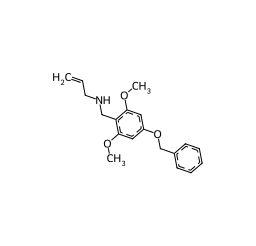 C=CCNCc1c(OC)cc(OCc2ccccc2)cc1OC